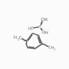 Cc1ccc(C)cc1.OP(O)O